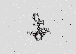 C=Cc1ccc(COCCCC2(C)OC(=C(C#N)C#N)C(C#N)=C2/C=C/c2ccc(N3CCOc4cc(C)ccc4N4CCOCCOCCN(CCOCCOCC4)c4ccc(C)cc4OCC3)c(OCCOC)c2)cc1